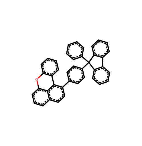 c1ccc(C2(c3ccc(-c4ccc5cccc6c5c4-c4ccccc4O6)cc3)c3ccccc3-c3ccccc32)cc1